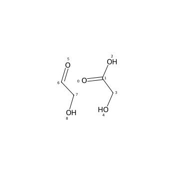 O=C(O)CO.O=CCO